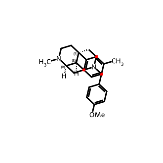 COc1ccc(CN2CC[C@]34CCN(C)[C@H](Cc5ccc(C)cc53)[C@@H]4C2)cc1